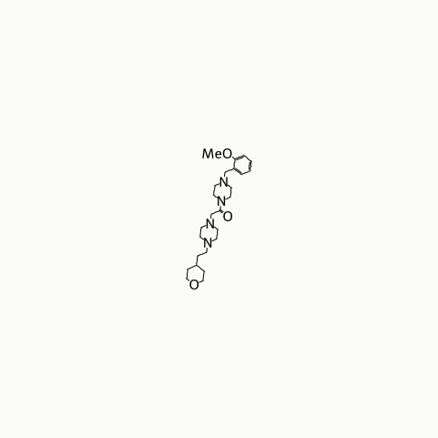 COc1ccccc1CN1CCN(C(=O)CN2CCN(CCC3CCOCC3)CC2)CC1